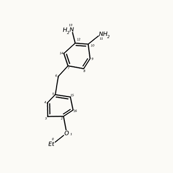 CCOc1ccc(Cc2ccc(N)c(N)c2)cc1